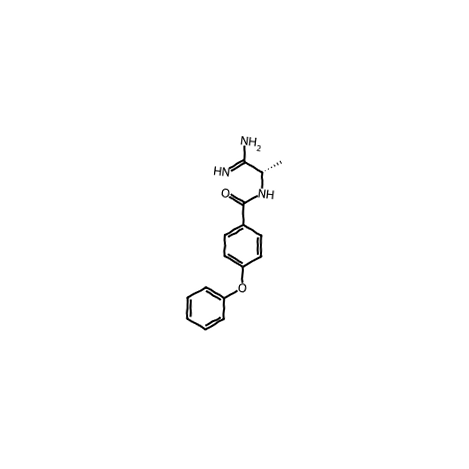 C[C@H](NC(=O)c1ccc(Oc2ccccc2)cc1)C(=N)N